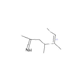 C/C=C(/C)C(C)CC(C)=N